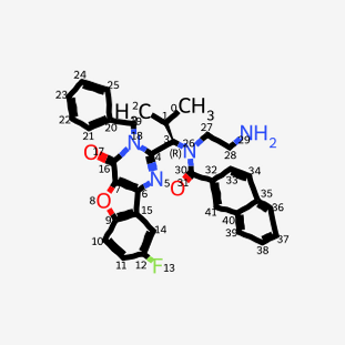 CC(C)[C@H](c1nc2c(oc3ccc(F)cc32)c(=O)n1Cc1ccccc1)N(CCN)C(=O)c1ccc2ccccc2c1